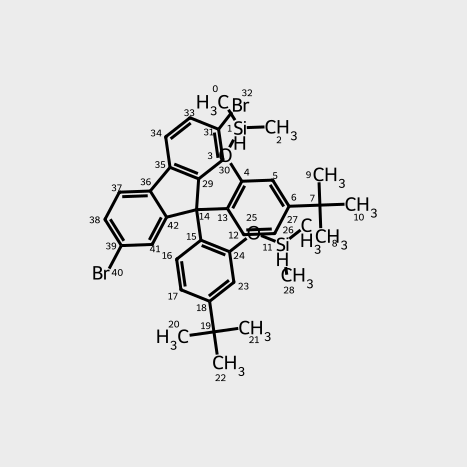 C[SiH](C)Oc1cc(C(C)(C)C)ccc1C1(c2ccc(C(C)(C)C)cc2O[SiH](C)C)c2cc(Br)ccc2-c2ccc(Br)cc21